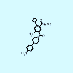 CNC(=O)c1cc(C(=O)N2CCC(c3ccc(N)cc3)CC2)c(C)cc1C1CCC1